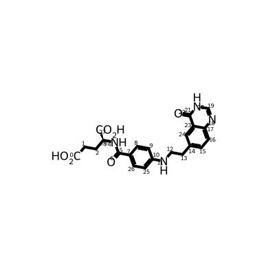 O=C(O)CC[C@H](NC(=O)c1ccc(NCCc2ccc3nc[nH]c(=O)c3c2)cc1)C(=O)O